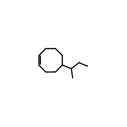 C[CH]C(C)C1CC/C=C\CCC1